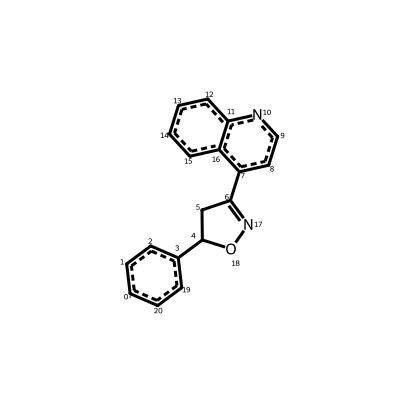 [c]1ccc(C2CC(c3ccnc4ccccc34)=NO2)cc1